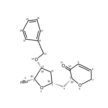 CCCC[C@H]1O[C@@H](C[C@H]2OCC=CC2=O)C[C@H]1OCc1ccccc1